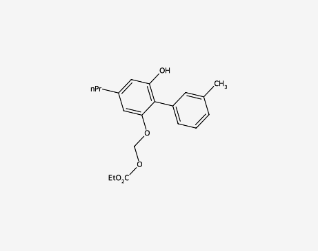 CCCc1cc(O)c(-c2cccc(C)c2)c(OCOC(=O)OCC)c1